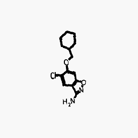 Nc1noc2cc(OCC3CCCCC3)c(Cl)cc12